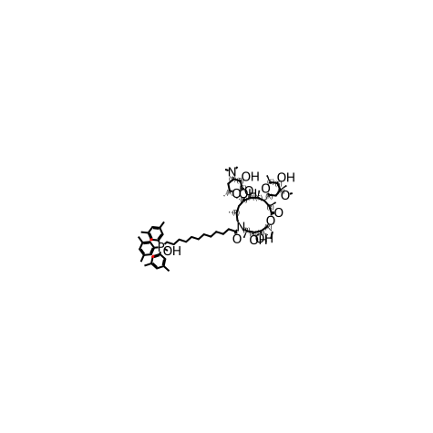 CC[C@H]1OC(=O)[C@H](C)C([C@H]2C[C@@](C)(OC)[C@@H](O)[C@H](C)O2)[C@H](C)[C@@H](O[C@@H]2O[C@H](C)C[C@H](N(C)C)[C@H]2O)[C@](C)(O)C[C@@H](C)CN(C(=O)CCCCCCCCCCCP(O)(c2cc(C)cc(C)c2)(c2cc(C)cc(C)c2)c2cc(C)cc(C)c2)[C@H](C)[C@@H](O)[C@]1(C)O